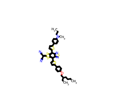 CCCCC(CC)COc1ccc(-c2ccc(-c3c4c(c(-c5ccc(-c6ccc(N(C)CCC)cc6)s5)c5nsnc35)SC(=C(C#N)C#N)S4)s2)cc1